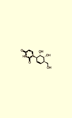 O=c1ccn([C@@H]2C=C[C@H](CO)[C@@H](O)[C@H]2O)c(=O)[nH]1